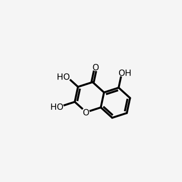 O=c1c(O)c(O)oc2cccc(O)c12